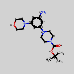 CC(C)(C)OC(=O)N1CCN(c2cc(N)cc(N3CCOCC3)c2)CC1